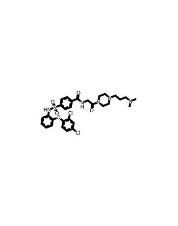 CN(C)CCCN1CCN(C(=O)CNC(=O)c2ccc(S(=O)(=O)Nc3ccccc3Oc3ccc(Cl)cc3Cl)cc2)CC1